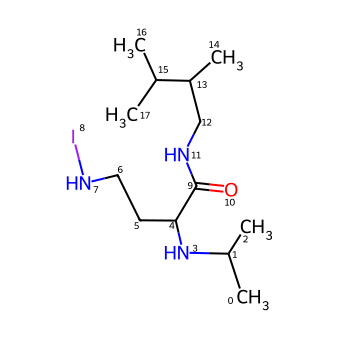 CC(C)NC(CCNI)C(=O)NCC(C)C(C)C